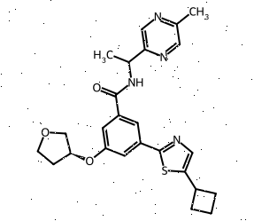 Cc1cnc(C(C)NC(=O)c2cc(O[C@H]3CCOC3)cc(-c3ncc(C4CCC4)s3)c2)cn1